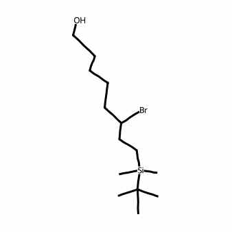 CC(C)(C)[Si](C)(C)CCC(Br)CCCCCO